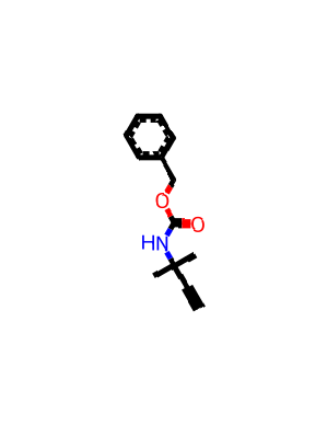 C#CC(C)(C)NC(=O)OCc1ccccc1